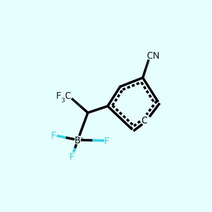 N#Cc1cccc(C([B-](F)(F)F)C(F)(F)F)c1